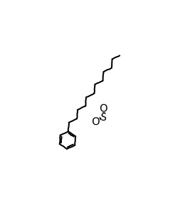 CCCCCCCCCCCCc1ccccc1.O=S=O